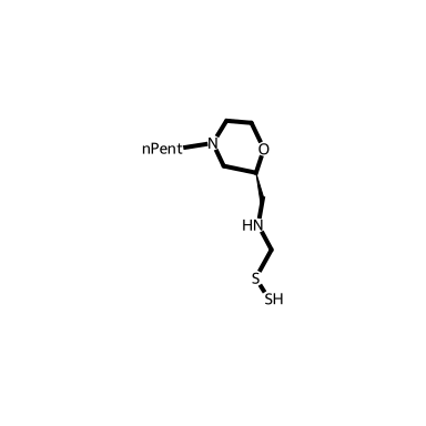 CCCCCN1CCO[C@@H](CNCSS)C1